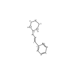 C(=C\c1ccccn1)/CC1OCCCO1